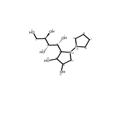 OC[C@@H](O)[C@@H](O)[C@H](O)C1C(O)C(O)CN1N1CCCC1